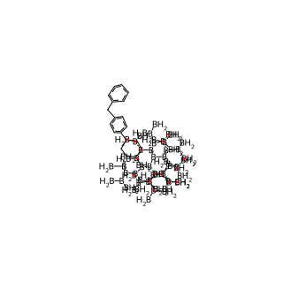 BBB(B(B)B)B(B(B(B)B)B(B)B)B(B(B(B(B(B)B)B(B)B)B(B(B)B)B(B)B)B(B(B(B)B)B(B)B)B(B(B)B)B(B)B(B)B)B(B(B(B)B(B)B)B(B(B)B)B(B)B)C1CCC(c2ccc(Cc3ccccc3)cc2)CC1